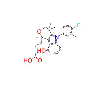 Cc1cc(-n2c3c(c4c(O)cccc42)[C@@](C)(CCC(C)(C)C(=O)O)OCC3(C)C)ccc1F